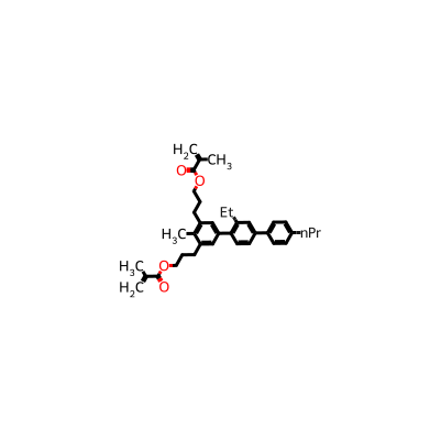 C=C(C)C(=O)OCCCc1cc(-c2ccc(-c3ccc(CCC)cc3)cc2CC)cc(CCCOC(=O)C(=C)C)c1C